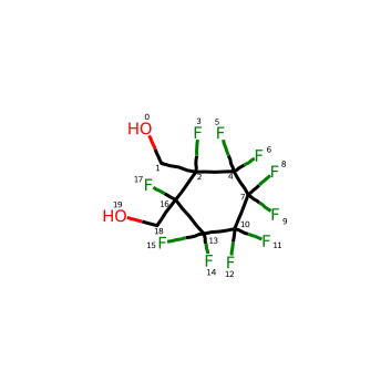 OCC1(F)C(F)(F)C(F)(F)C(F)(F)C(F)(F)C1(F)CO